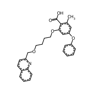 Cc1cc(Oc2ccccc2)cc(OCCCCOCc2ccc3ccccc3n2)c1C(=O)O